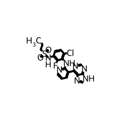 CCCS(=O)(=O)Nc1ccc(Cl)c(Nc2ncccc2-c2ncnc3[nH]cnc23)c1F